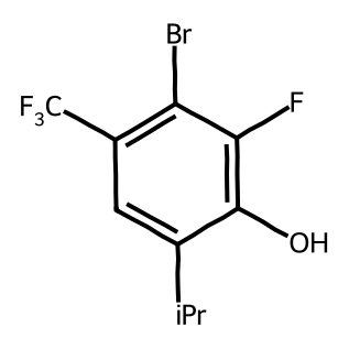 CC(C)c1cc(C(F)(F)F)c(Br)c(F)c1O